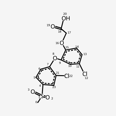 CS(=O)(=O)c1ccc(Oc2cc(Cl)ccc2OCC(=O)O)c(Cl)c1